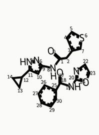 O=C(Cc1ccsc1)Nc1cc(C2CC2)[nH]n1.O=C(Nc1ncco1)c1ccccc1